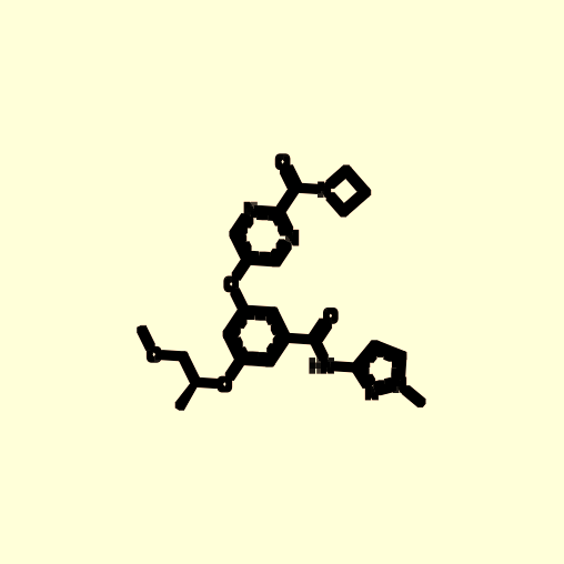 COC[C@H](C)Oc1cc(Oc2cnc(C(=O)N3CCC3)nc2)cc(C(=O)Nc2ccn(C)n2)c1